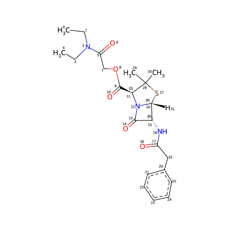 CCN(CC)C(=O)COC(=O)[C@@H]1N2C(=O)[C@@H](NC(=O)Cc3ccccc3)[C@H]2SC1(C)C